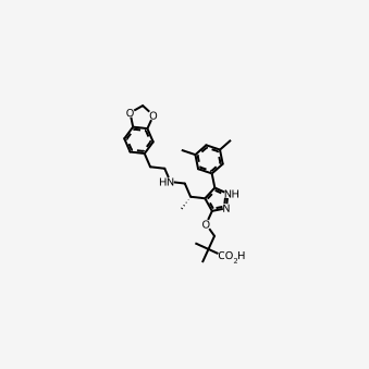 Cc1cc(C)cc(-c2[nH]nc(OCC(C)(C)C(=O)O)c2[C@H](C)CNCCc2ccc3c(c2)OCO3)c1